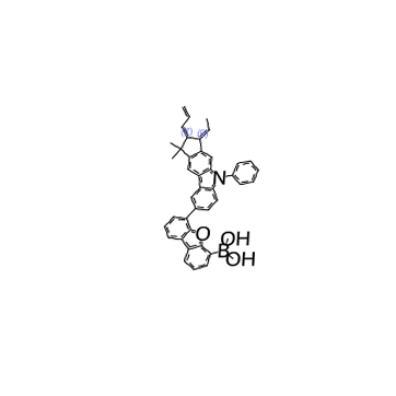 C=C/C=C1\C(=C/C)c2cc3c(cc2C1(C)C)c1cc(-c2cccc4c2oc2c(B(O)O)cccc24)ccc1n3-c1ccccc1